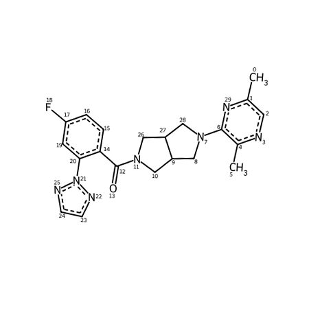 Cc1cnc(C)c(N2CC3CN(C(=O)c4ccc(F)cc4-n4nccn4)CC3C2)n1